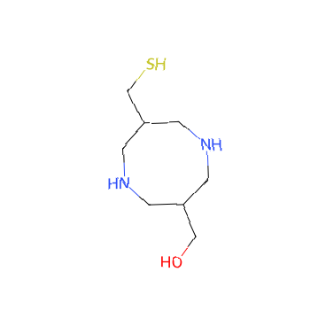 OCC1CNCC(CS)CNC1